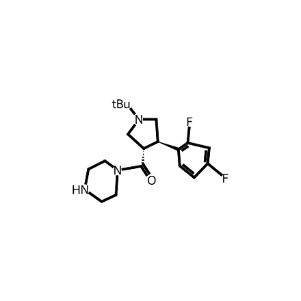 CC(C)(C)N1C[C@@H](C(=O)N2CCNCC2)[C@H](c2ccc(F)cc2F)C1